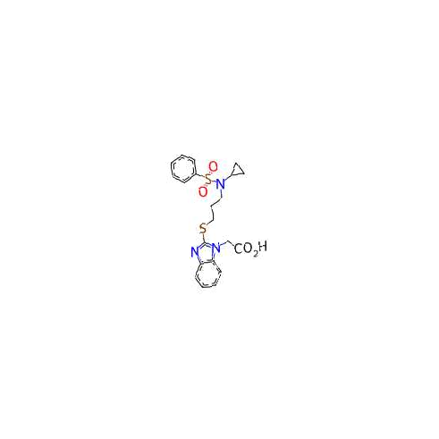 O=C(O)Cn1c(SCCCN(C2CC2)S(=O)(=O)c2ccccc2)nc2ccccc21